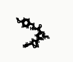 COc1ccc(CNC(=O)c2cc(C3=NOC(C#N)C3)nc(C)n2)cc1